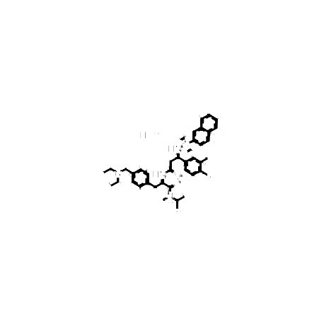 CCN(CC)Cc1ccc(CC(NC(=O)CC(NS(=O)(=O)c2ccc3ccccc3c2)c2ccc(C)c(C)c2)C(=O)N(C)C(C)C)cc1.Cl